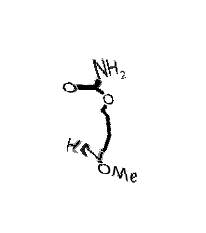 CONCCOC(N)=O